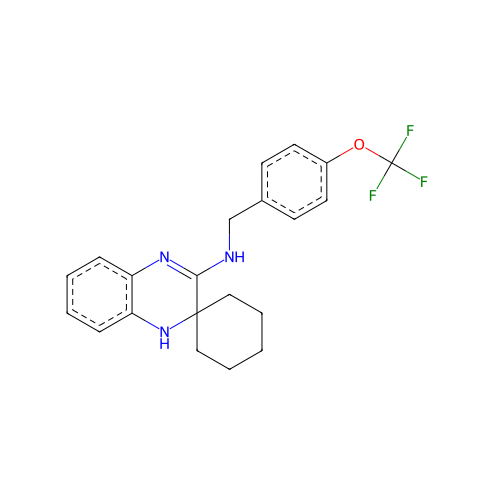 FC(F)(F)Oc1ccc(CNC2=Nc3ccccc3NC23CCCCC3)cc1